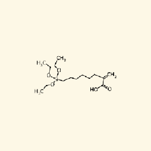 C=C(CCCCCC[Si](OCC)(OCC)OCC)C(=O)O